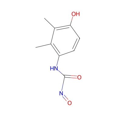 Cc1c(O)ccc(NC(=O)N=O)c1C